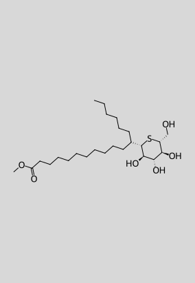 CCCCCCC(CCCCCCCCCCC(=O)OC)[C@@H]1S[C@H](CO)[C@@H](O)[C@H](O)[C@H]1O